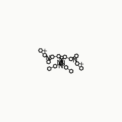 CC1(C)c2ccccc2-c2ccc(-n3c4ccccc4c4cc(-c5ccc6c7ccc(-c8ccc9c(c8)c8ccccc8n9-c8ccc9c(c8)C(C)(C)c8ccccc8-9)cc7n(-c7nc(-c8ccc(-c9ccccc9)cc8)nc(-c8ccc(-c9ccccc9)cc8)n7)c6c5)ccc43)cc21